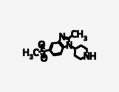 Cc1nc2cc(S(C)(=O)=O)ccc2n1C1CCNCC1